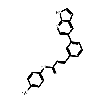 O=C(C=Cc1cccc(-c2cnc3[nH]ccc3c2)c1)Nc1ccc(C(F)(F)F)cc1